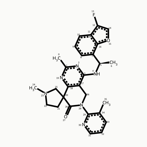 Cc1nc(N[C@H](C)c2cccc3c(F)coc23)c2c(n1)C1(CCN(C)C1)C(=O)N(c1ncccc1C)C2